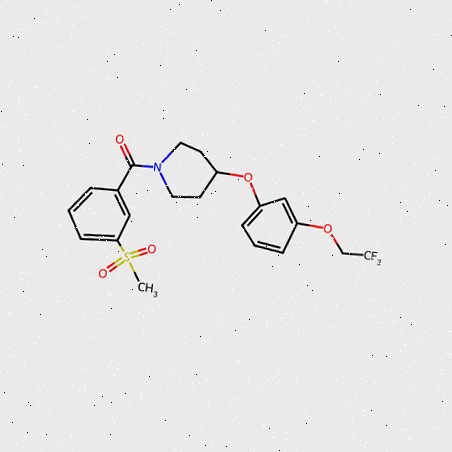 CS(=O)(=O)c1cccc(C(=O)N2CCC(Oc3cccc(OCC(F)(F)F)c3)CC2)c1